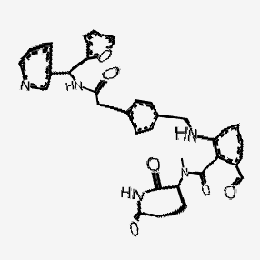 CN(C(=O)c1c(C=O)cccc1NCc1ccc(CC(=O)NC(c2cccnc2)c2ccco2)cc1)C1CCC(=O)NC1=O